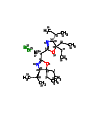 CCC1(CC)OC(CC2=N[C@H](C(C)C)C(CC)(CC)O2)=N[C@@H]1C(C)C.[Br-].[Br-].[Ni+2]